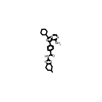 CC1CCc2nc(NC(=O)c3ccc(-c4nc(C5CCCCC5)n5ccnc(N)c45)cc3)sc2C1